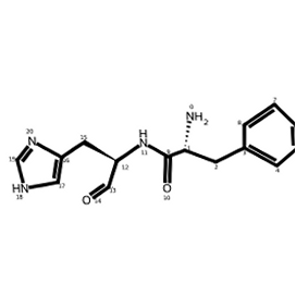 N[C@H](Cc1ccccc1)C(=O)N[C@@H]([C]=O)Cc1c[nH]cn1